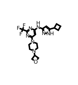 FC(F)(F)c1nc(Nc2cc(C3CCC3)[nH]n2)cc(N2CCN(C3COC3)CC2)n1